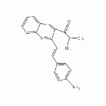 CC(N)C(=O)c1cc2ccccc2nc1C=Cc1ccc(N)cc1